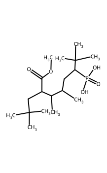 COC(=O)C(CC(C)(C)C)C(C)C(C)CC(C(C)(C)C)P(=O)(O)O